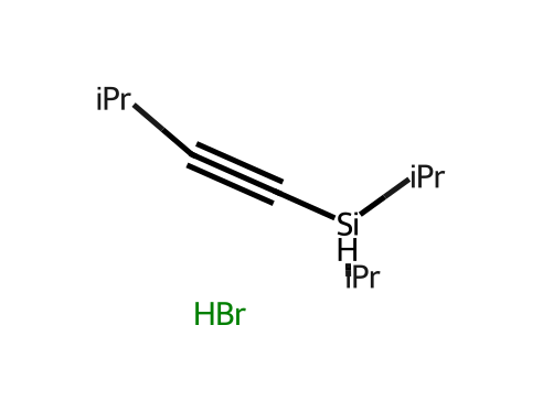 Br.CC(C)C#C[SiH](C(C)C)C(C)C